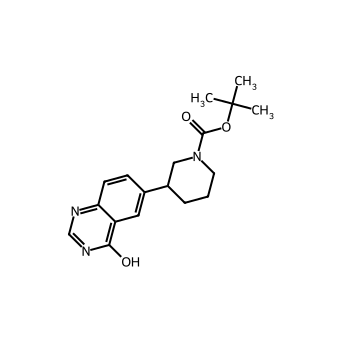 CC(C)(C)OC(=O)N1CCCC(c2ccc3ncnc(O)c3c2)C1